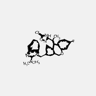 C/C(=C1/c2ccc(Cn3c(N(C)C)nc4ccccc43)cc2COc2cc(F)ccc21)c1noc(=O)[nH]1